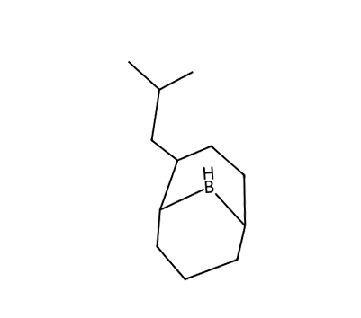 CC(C)CC1CCC2BC1CCC2